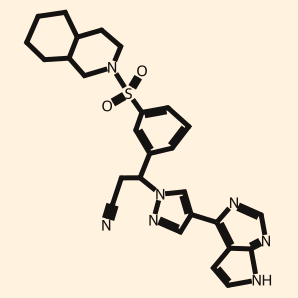 N#CCC(c1cccc(S(=O)(=O)N2CCC3CCCCC3C2)c1)n1cc(-c2ncnc3[nH]ccc23)cn1